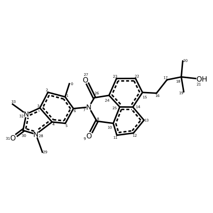 Cc1cc2c(cc1N1C(=O)c3cccc4c(CCC(C)(C)O)ccc(c34)C1=O)n(C)c(=O)n2C